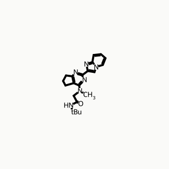 CN(CC(=O)NC(C)(C)C)c1nc(-c2cn3ccccc3n2)nc2c1CCC2